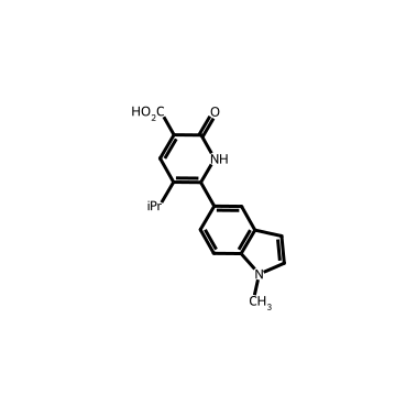 CC(C)c1cc(C(=O)O)c(=O)[nH]c1-c1ccc2c(ccn2C)c1